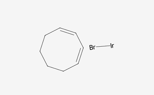 C1=C\CCCC\C=C/1.[Br][Ir]